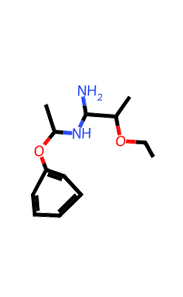 CCOC(C)C(N)NC(C)Oc1ccccc1